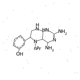 CCCN1C(c2cccc(O)c2)CNC2NC(N)=NC(N)C21